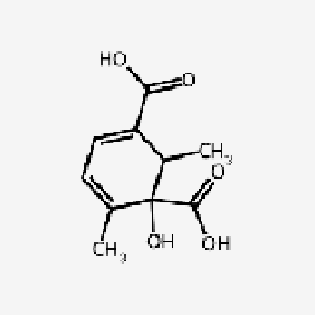 CC1=CC=C(C(=O)O)C(C)C1(O)C(=O)O